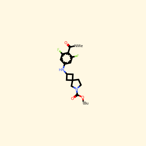 CNC(=O)c1c(F)cc(NC2CC3(CCN(C(=O)OC(C)(C)C)C3)C2)cc1F